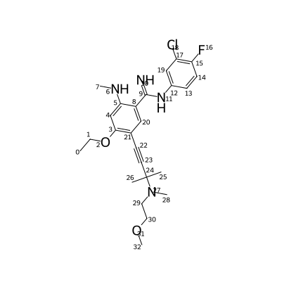 CCOc1cc(NC)c(C(=N)Nc2ccc(F)c(Cl)c2)cc1C#CC(C)(C)N(C)CCOC